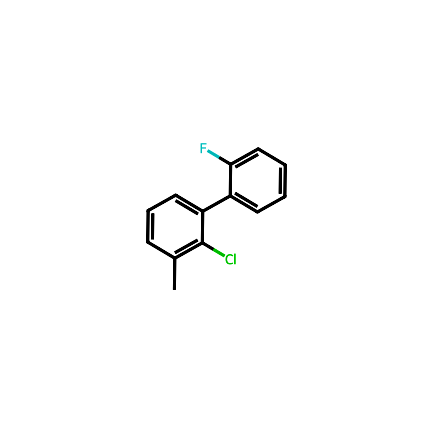 Cc1cccc(-c2ccccc2F)c1Cl